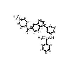 C[C@H](Nc1cncc(-n2cnc3cc(C(=O)N4CCN(C)CC4)ccc32)n1)c1ccccc1